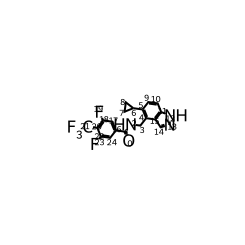 O=C(NCc1c(C2CC2)ccc2[nH]ncc12)c1cc(F)c(C(F)(F)F)c(F)c1